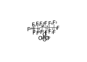 FC(F)(F)C(F)(F)C(F)(F)C(F)(F)C(F)(F)C(F)(F)F.O=[O+][O-].[O]